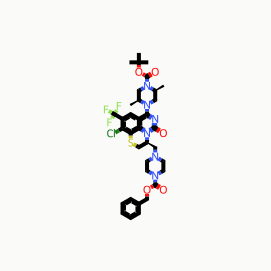 C[C@H]1CN(c2nc(=O)n3c4c(c(Cl)c(C(F)(F)F)cc24)SC[C@@H]3CN2CCN(C(=O)OCc3ccccc3)CC2)[C@@H](C)CN1C(=O)OC(C)(C)C